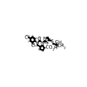 CC(C)(CSc1cnc(NC(=O)N(CC2CCCC2)c2ccc(Cl)cc2Cl)s1)C(=O)O